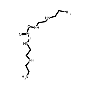 NCCNCCNO[PH](=O)ONCCNCCN